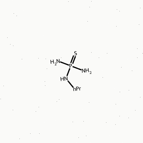 CCCNP(N)(N)=S